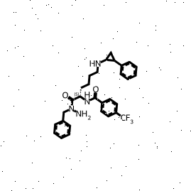 NN(Cc1ccccc1)C(=O)[C@H](CCCCNC1CC1c1ccccc1)NC(=O)c1ccc(C(F)(F)F)cc1